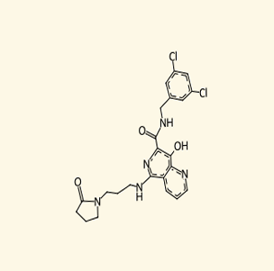 O=C(NCc1cc(Cl)cc(Cl)c1)c1nc(NCCCN2CCCC2=O)c2cccnc2c1O